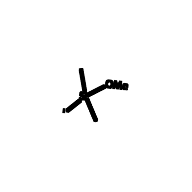 [CH][Si](C)(C)OC